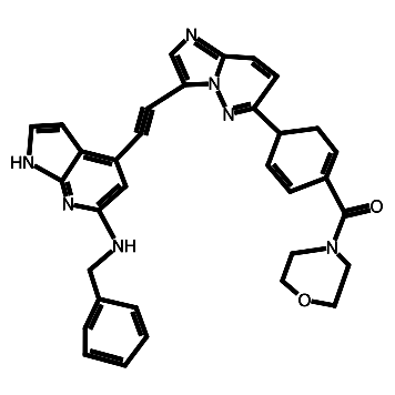 O=C(C1=CCC(c2ccc3ncc(C#Cc4cc(NCc5ccccc5)nc5[nH]ccc45)n3n2)C=C1)N1CCOCC1